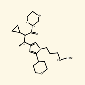 CONCCCn1cc([C@@H](C)N(C(=O)[C@H]2CNCCO2)C2CC2)nc1C1CCOCC1